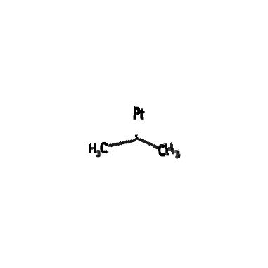 C[CH]C.[Pt]